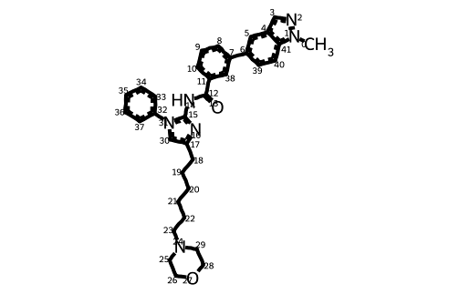 Cn1ncc2cc(-c3cccc(C(=O)Nc4nc(CCCCCCN5CCOCC5)cn4-c4ccccc4)c3)ccc21